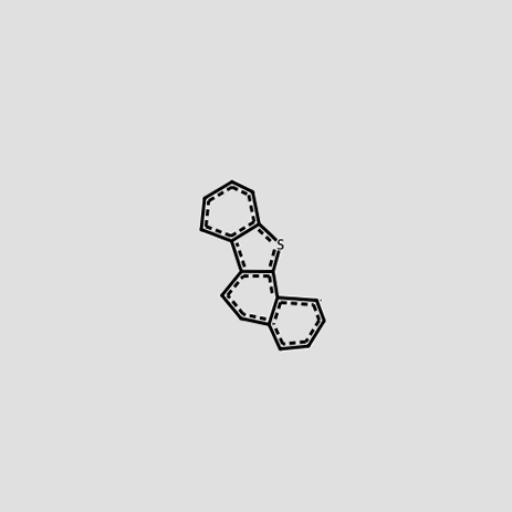 [c]1cccc2ccc3c4ccccc4sc3c12